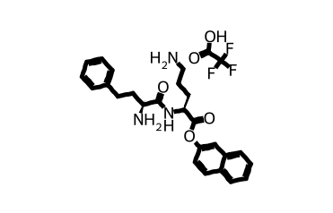 NCCC[C@H](NC(=O)[C@@H](N)CCc1ccccc1)C(=O)Oc1ccc2ccccc2c1.O=C(O)C(F)(F)F